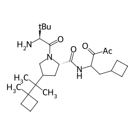 CC(=O)C(=O)C(CC1CCC1)NC(=O)[C@@H]1CC(C(C)(C)C2(C)CCC2)CN1C(=O)[C@@H](N)C(C)(C)C